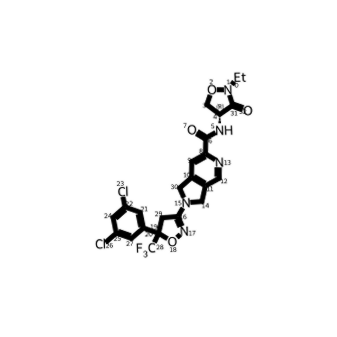 CCN1OC[C@@H](NC(=O)c2cc3c(cn2)CN(C2=NOC(c4cc(Cl)cc(Cl)c4)(C(F)(F)F)C2)C3)C1=O